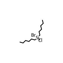 CCCCCC[Si](Cl)(Br)CCCCCC